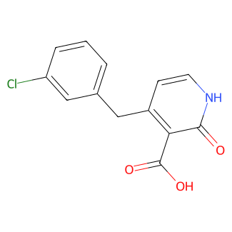 O=C(O)c1c(Cc2cccc(Cl)c2)cc[nH]c1=O